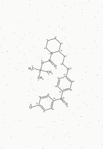 CC(C)(C)OC(=O)N1CCCCC1CCOc1ccc(C(=O)c2ccc(Cl)cc2)cc1